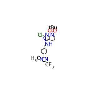 Cn1cc(C(F)(F)F)nc1-c1ccc(CNc2nc(Cl)nc3c2CCCN3C(=O)OC(C)(C)C)cc1